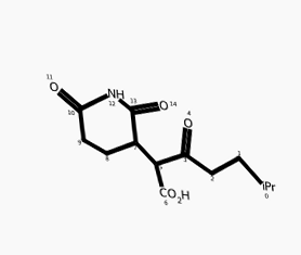 CC(C)CCC(=O)C(C(=O)O)C1CCC(=O)NC1=O